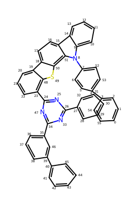 c1ccc(-c2ccc(-n3c4ccccc4c4ccc5c6cccc(-c7nc(-c8ccccc8)nc(-c8cccc(-c9ccccc9)c8)n7)c6sc5c43)cc2)cc1